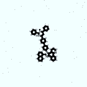 CN1C(c2ccccc2)C=C(c2ccc(-c3ccc(-n4c(-c5cccc6ccccc56)nc5c6ccccc6c6ncccc6c54)cc3)cc2)NC1c1ccccc1